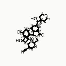 N#Cc1cnc(CN2C(=O)c3cc([C@@H](O)C4(F)CCOCC4)cc(F)c3[C@]2(O[C@H]2C[C@@H](O)C2)c2ccc(Cl)cc2)nc1